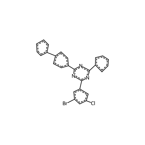 Clc1cc(Br)cc(-c2nc(-c3ccccc3)nc(-c3ccc(-c4ccccc4)cc3)n2)c1